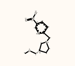 COC[C@H]1CCN(Cc2ccc([N+](=O)[O-])cn2)C1